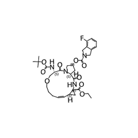 CCOC(=O)[C@@]12C[C@H]1C=CCCCOC[C@H](NC(=O)OC(C)(C)C)C(=O)N1C[C@H](OC(=O)N3Cc4cccc(F)c4C3)C[C@H]1C(=O)N2